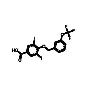 O=C(O)c1cc(I)c(OCc2cccc(OC(F)(F)F)c2)c(I)c1